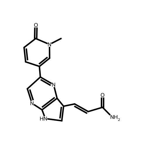 Cn1cc(-c2cnc3[nH]cc(C=CC(N)=O)c3n2)ccc1=O